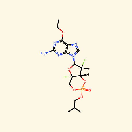 CCOc1nc(N)nc2c1ncn2[C@@H]1O[C@]2(F)COP(=O)(OCC(C)C)O[C@H]2[C@@]1(C)F